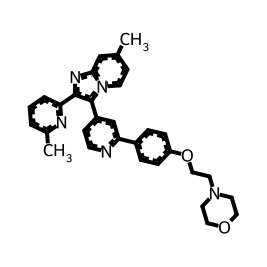 Cc1ccn2c(-c3ccnc(-c4ccc(OCCN5CCOCC5)cc4)c3)c(-c3cccc(C)n3)nc2c1